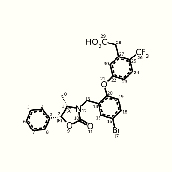 C[C@H]1[C@@H](c2ccccc2)OC(=O)N1Cc1cc(Br)ccc1Oc1ccc(C(F)(F)F)c(CC(=O)O)c1